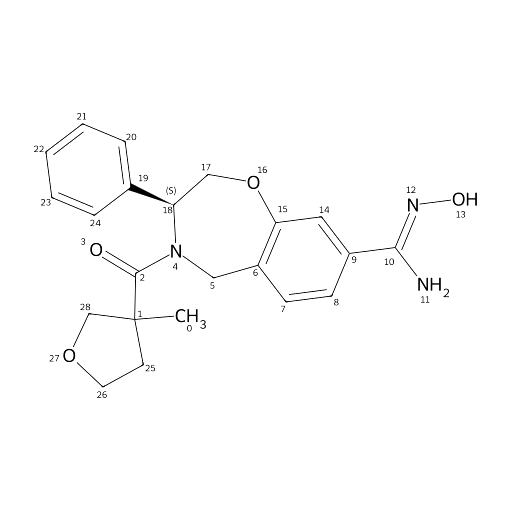 CC1(C(=O)N2Cc3ccc(C(N)=NO)cc3OC[C@@H]2c2ccccc2)CCOC1